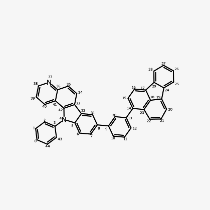 c1ccc(-n2c3ccc(-c4cccc(-c5ccc6c7c(cccc57)-c5ccccc5-6)c4)cc3c3ccc4ncccc4c32)cc1